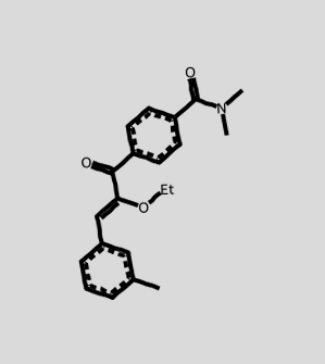 CCOC(=Cc1cccc(C)c1)C(=O)c1ccc(C(=O)N(C)C)cc1